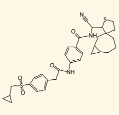 N#CC(NC(=O)c1ccc(NC(=O)Cc2ccc(S(=O)(=O)CC3CC3)cc2)cc1)C1SCCC12CCCC1CC1C2